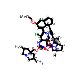 COCOc1cc(-c2ncc3c(N4C[C@@H]5CC[C@H]([C@H]4C)N5C(=O)OC(C)(C)C)nc(OCC45CC(C)CN4CC(C)C5)nc3c2F)c2c(C#C[Si](C(C)C)(C(C)C)C(C)C)cccc2c1